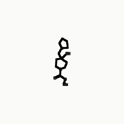 CC(C)(C)OC(=O)N1CCC(O)(CN2CCCC2)CC1